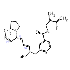 C=C(F)C(=C)CNC(=O)c1ccnc(CC(/C=C/C=C(\C=N/C)N2CCCC2)CCC)c1